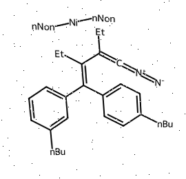 CCCCCCCC[CH2][Ni][CH2]CCCCCCCC.CCCCc1ccc(C(=C(CC)C(=C=[N+]=[N-])CC)c2cccc(CCCC)c2)cc1